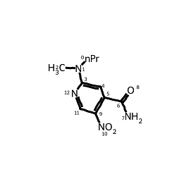 CCCN(C)c1cc(C(N)=O)c([N+](=O)[O-])cn1